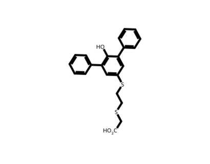 O=C(O)CSCCSc1cc(-c2ccccc2)c(O)c(-c2ccccc2)c1